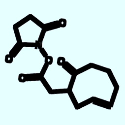 O=C(CC1C/C=C/CCCC1=O)ON1C(=O)CCC1=O